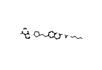 CCCCCOC(=O)Nc1ccc2cc(CC[C@@]3(C)C[C@@H](n4ccc5c(N)ncnc54)[C@H](O)[C@@H]3O)ccc2n1